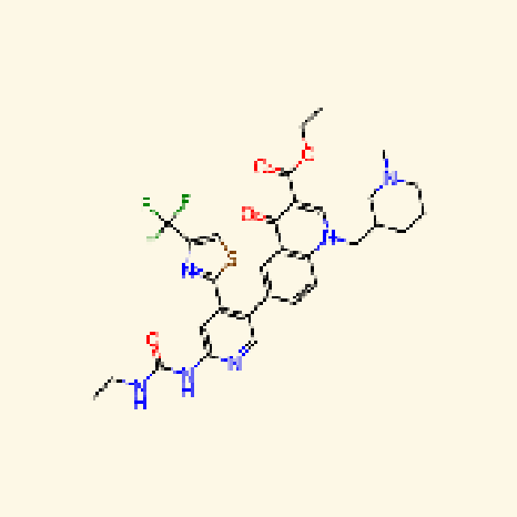 CCNC(=O)Nc1cc(-c2nc(C(F)(F)F)cs2)c(-c2ccc3c(c2)c(=O)c(C(=O)OCC)cn3CC2CCCN(C)C2)cn1